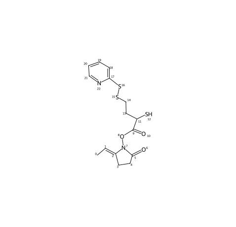 C/C=C1\CCC(=O)N1OC(=O)C(S)CCSSc1ccccn1